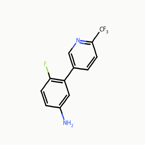 Nc1ccc(F)c(-c2ccc(C(F)(F)F)nc2)c1